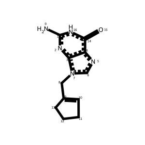 Nc1nc2c(ncn2CC2=CCCC2)c(=O)[nH]1